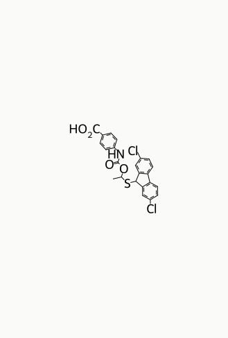 CC(OC(=O)Nc1ccc(C(=O)O)cc1)SC1c2cc(Cl)ccc2-c2ccc(Cl)cc21